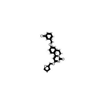 O=c1nc(OCC2CCCO2)cc2n1CCc1cc(OCc3cccc(Cl)c3)ccc1-2